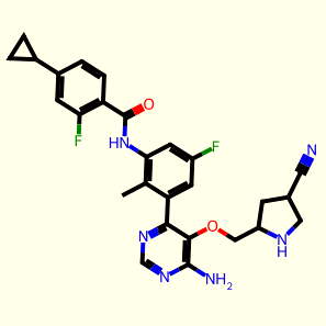 Cc1c(NC(=O)c2ccc(C3CC3)cc2F)cc(F)cc1-c1ncnc(N)c1OCC1CC(C#N)CN1